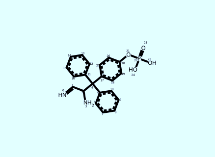 N=CC(N)C(c1ccccc1)(c1ccccc1)c1ccc(OP(=O)(O)O)cc1